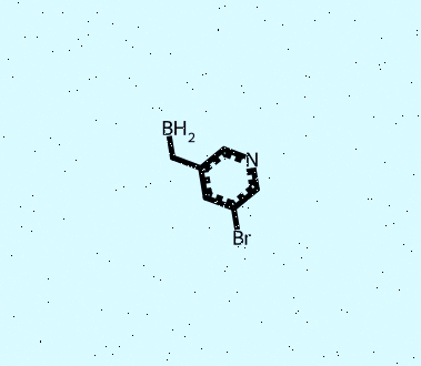 BCc1cncc(Br)c1